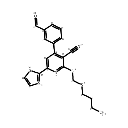 CCCCSCSc1nc(-c2nccs2)cc(-c2cccc(C=O)c2)c1C#N